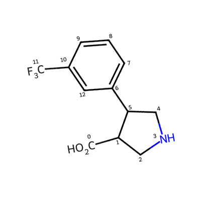 O=C(O)C1CNCC1c1cccc(C(F)(F)F)c1